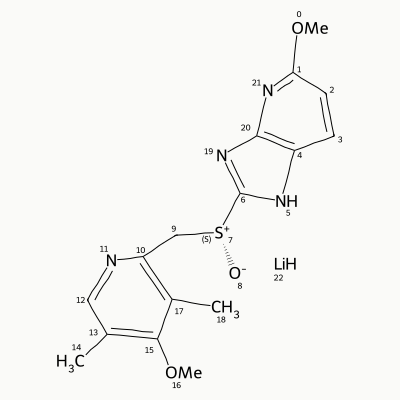 COc1ccc2[nH]c([S@+]([O-])Cc3ncc(C)c(OC)c3C)nc2n1.[LiH]